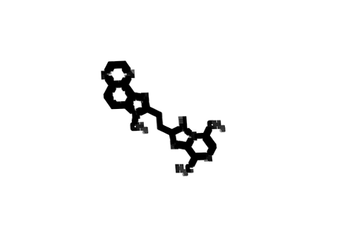 CC1=CN=C(C)C2=NC(CCc3nc4c5nccnc5ccc4n3C)NN12